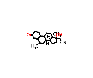 CC1C[C@@H]2C(=C3CCC(=O)C=C31)C=C[C@@]1(C)[C@H]2CC[C@@]1(O)CC#N